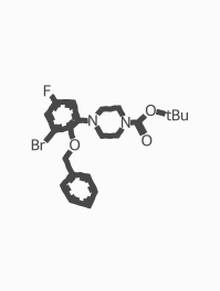 CC(C)(C)OC(=O)N1CCN(c2cc(F)cc(Br)c2OCc2ccccc2)CC1